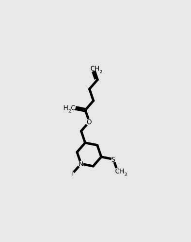 C=CCCC(=C)OCC1CC(SC)CN(I)C1